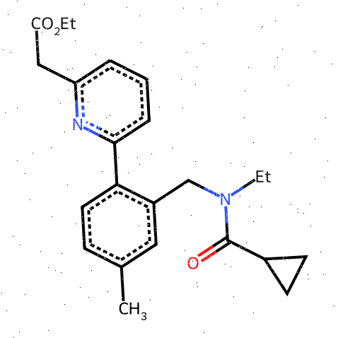 CCOC(=O)Cc1cccc(-c2ccc(C)cc2CN(CC)C(=O)C2CC2)n1